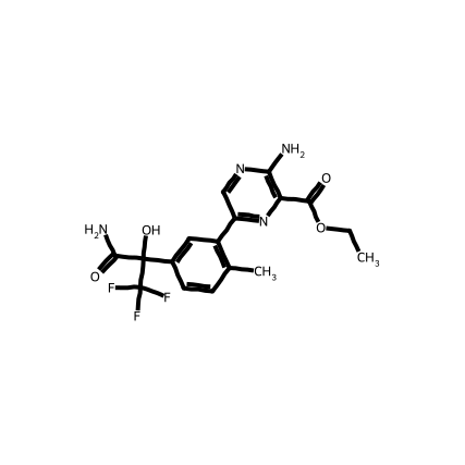 CCOC(=O)c1nc(-c2cc(C(O)(C(N)=O)C(F)(F)F)ccc2C)cnc1N